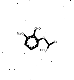 CCC(Oc1cccc(OC)c1C=O)C(=O)O